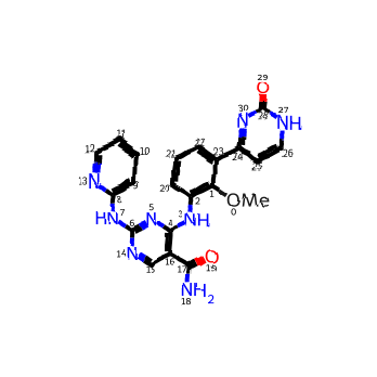 COc1c(Nc2nc(Nc3ccccn3)ncc2C(N)=O)cccc1-c1cc[nH]c(=O)n1